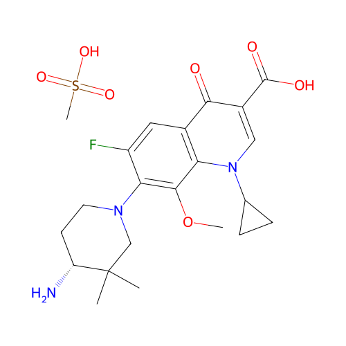 COc1c(N2CC[C@@H](N)C(C)(C)C2)c(F)cc2c(=O)c(C(=O)O)cn(C3CC3)c12.CS(=O)(=O)O